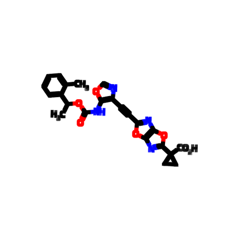 Cc1ccccc1C(C)OC(=O)Nc1ocnc1C#Cc1nc2oc(C3(C(=O)O)CC3)nc2o1